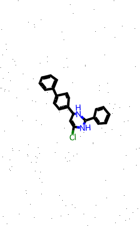 ClC1=CC(c2ccc(-c3ccccc3)cc2)NC(c2ccccc2)N1